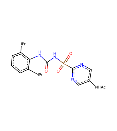 CC(=O)Nc1cnc(S(=O)(=O)NC(=O)Nc2c(C(C)C)cccc2C(C)C)nc1